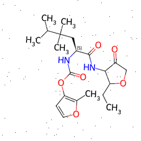 CCC1OCC(=O)C1NC(=O)[C@H](CC(C)(C)C(C)C)NC(=O)Oc1ccoc1C